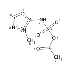 CC(=O)OS(=O)(=O)Nc1ccnn1C